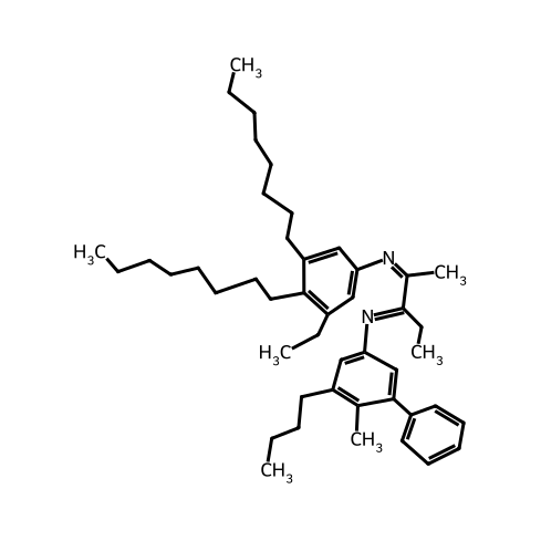 CCCCCCCCc1cc(N=C(C)C(CC)=Nc2cc(CCCC)c(C)c(-c3ccccc3)c2)cc(CC)c1CCCCCCCC